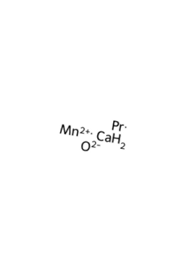 [CaH2].[Mn+2].[O-2].[Pr]